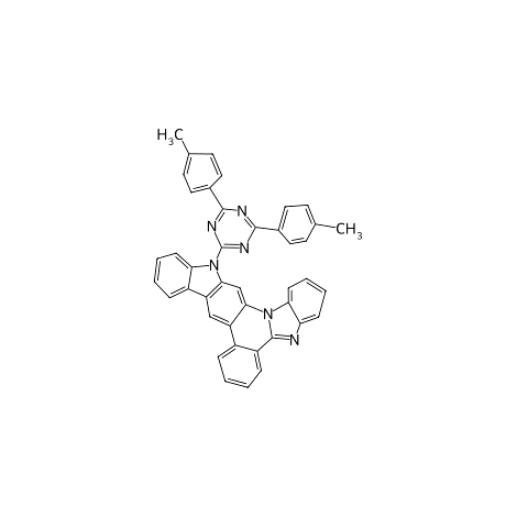 Cc1ccc(-c2nc(-c3ccc(C)cc3)nc(-n3c4ccccc4c4cc5c6ccccc6c6nc7ccccc7n6c5cc43)n2)cc1